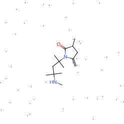 C=C1CC(C)C(=O)N1C(C)(C)CC(C)(C)NC